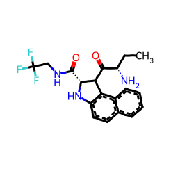 CC[C@H](N)C(=O)C1c2c(ccc3ccccc23)N[C@@H]1C(=O)NCC(F)(F)F